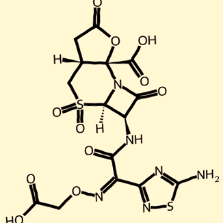 Nc1nc(/C(=N/OCC(=O)O)C(=O)N[C@@H]2C(=O)N3[C@@H]2S(=O)(=O)C[C@@H]2CC(=O)O[C@@]23C(=O)O)ns1